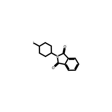 O=C1c2ccccc2C(=O)N1C1CCC(I)CC1